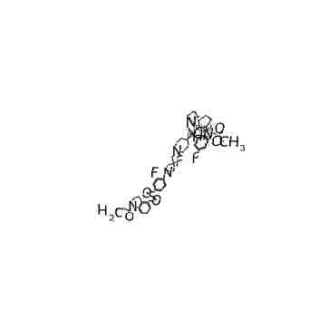 C=CC(=O)N1CCc2c1cccc2S(=O)(=O)c1ccc(N2CC(F)(CN3CCC([C@@](CN4CCC4)(c4cccc(F)c4)[C@H]4CCC[C@@H]4NC(=O)OC)CC3)C2)c(F)c1